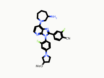 COC1CCN(c2ccc(-n3c(-c4ccc(C#N)c(F)c4)nc4c(N5CCCCC(N)C5)ccnc43)c(F)c2)C1